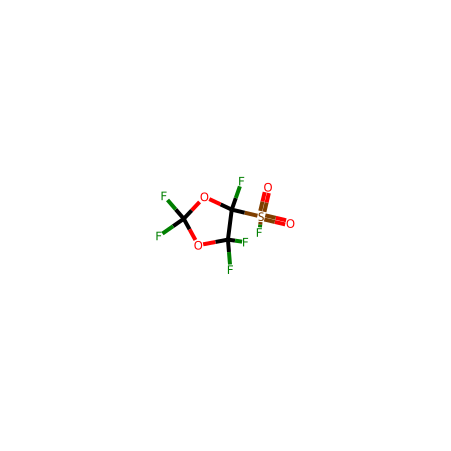 O=S(=O)(F)C1(F)OC(F)(F)OC1(F)F